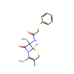 COC1(NC(=O)CSc2ccccc2)C(=O)N2C(C(=O)O)=C(C)CS[C@@H]21